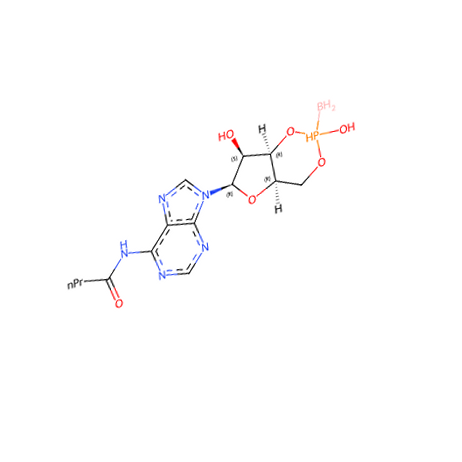 B[PH]1(O)OC[C@H]2O[C@@H](n3cnc4c(NC(=O)CCC)ncnc43)[C@@H](O)[C@H]2O1